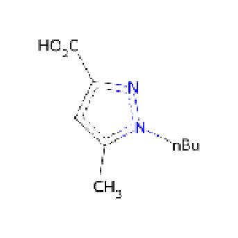 CCCCn1nc(C(=O)O)cc1C